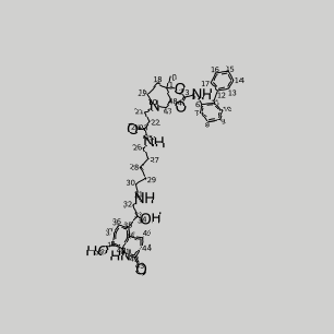 CC1(OC(=O)Nc2ccccc2-c2ccccc2)CCN(CCC(=O)NCCCCCNCC(O)c2ccc(O)c3[nH]c(=O)ccc23)CC1